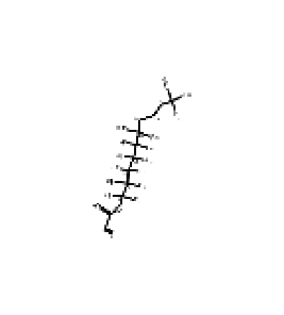 C=CC(=O)OC(F)(F)C(F)(F)C(F)(F)C(F)(F)C(F)(F)C(F)(F)CCCC(F)(F)F